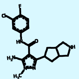 Cn1nc(C2CC3CNCC3C2)c(C(=O)Nc2ccc(F)c(Cl)c2)c1N